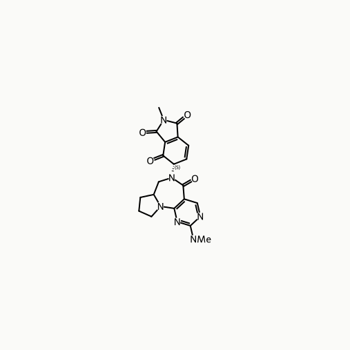 CNc1ncc2c(n1)N1CCCC1CN([C@H]1C=CC3=C(C1=O)C(=O)N(C)C3=O)C2=O